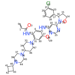 C=CC(=O)Nc1cc(Nc2cc(N3OCCC3c3cccc(Cl)c3)ncn2)c(OC)cc1N1CCC(N2CCN(C3CCC3)CC2)CC1